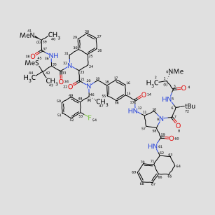 CN[C@@H](C)C(=O)NC(C(=O)N1CC(NC(=O)c2ccc(CN(C(=O)C3Cc4ccccc4CN3C(=O)C(NC(=O)[C@H](C)NC)C(C)(C)SC)[C@H](C)c3ccccc3F)cc2)CC1C(=O)NC1CCCc2ccccc21)C(C)(C)C